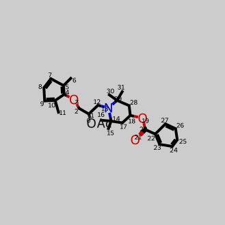 CC(=O)OC(COc1c(C)cccc1C)CN1C(C)(C)CC(OC(=O)c2ccccc2)CC1(C)C